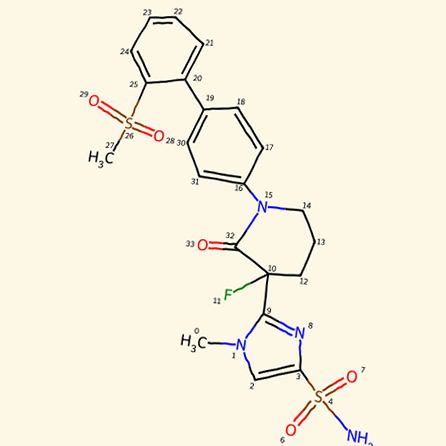 Cn1cc(S(N)(=O)=O)nc1C1(F)CCCN(c2ccc(-c3ccccc3S(C)(=O)=O)cc2)C1=O